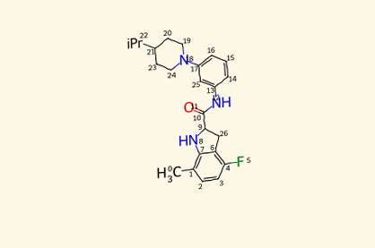 Cc1ccc(F)c2c1NC(C(=O)Nc1cccc(N3CCC(C(C)C)CC3)c1)C2